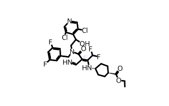 CCOC(=O)[C@H]1CC[C@H](N/C(=C(\C=N)C(=O)N(Cc2cc(F)cc(F)c2)CC(O)c2c(Cl)cncc2Cl)C(F)F)CC1